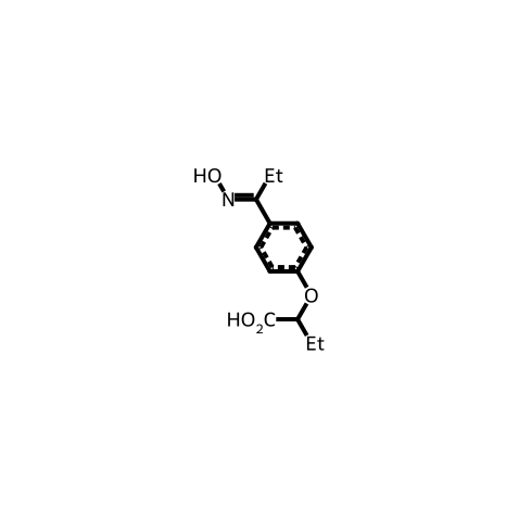 CCC(=NO)c1ccc(OC(CC)C(=O)O)cc1